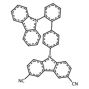 N#Cc1ccc2c(c1)c1cc(C#N)ccc1n2-c1ccc(-c2ccccc2-n2c3ccccc3c3ccccc32)cc1